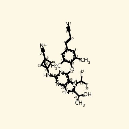 Cc1cc(/C=C/C#N)cc(C)c1Oc1nc(NC23CC(C#N)(C2)C3)nc2nc([C@H](C)O)n(C(F)F)c12